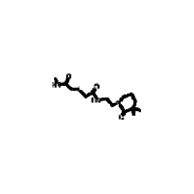 CNC(=O)CSCC(=O)NCCN1CCCC(C)(C)C1=O